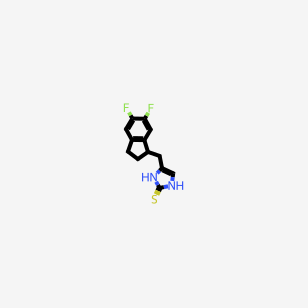 Fc1cc2c(cc1F)C(Cc1c[nH]c(=S)[nH]1)CC2